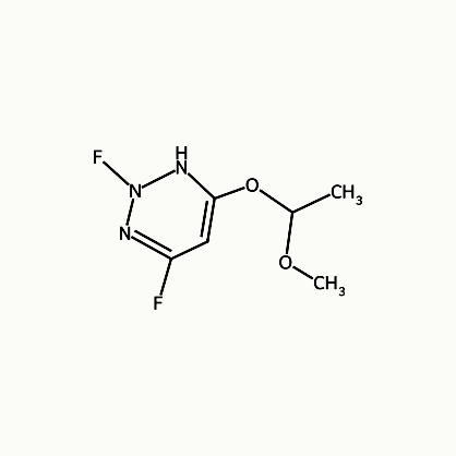 COC(C)OC1=CC(F)=NN(F)N1